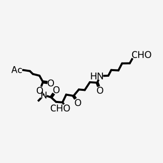 CC(=O)CCCC(=O)ON(C)C(=O)CC(C=O)CC(=O)CCCC(=O)NCCCCCC=O